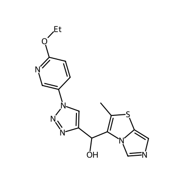 CCOc1ccc(-n2cc(C(O)c3c(C)sc4cncn34)nn2)cn1